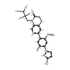 CCSc1cc(-n2ccc(Cl)n2)c(C)cc1-c1cc2c(cn1)N(CC(F)(F)C(F)F)C(=O)CC2